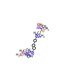 COC(=O)N[C@H](C(=O)CCC(C)(C)c1ncc(-c2ccc(-c3ccc4cc(-c5cnc([C@@H]6[C@H]7CC[C@H](C7)N6C(=O)[C@@H](NC(=O)OC)C(C)C)[nH]5)ccc4c3)cc2)[nH]1)C(C)C